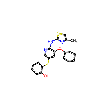 Cc1csc(Nc2ncc(Sc3ccccc3O)cc2Oc2ccccc2)n1